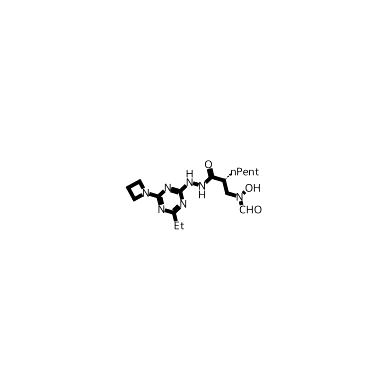 CCCCC[C@H](CN(O)C=O)C(=O)NNc1nc(CC)nc(N2CCC2)n1